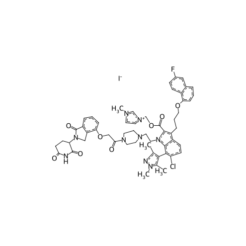 Cc1nn(C)c(C)c1-c1c(Cl)ccc2c(CCCOc3cccc4cc(F)ccc34)c(C(=O)OC[n+]3ccn(C)c3)n(CCN3CCN(C(=O)COc4cccc5c4CN(C4CCC(=O)NC4=O)C5=O)CC3)c12.[I-]